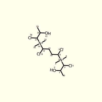 CC(O)C(Cl)[N+](C)(C)C(Cl)CCC(Cl)[N+](C)(C)C(Cl)C(C)O